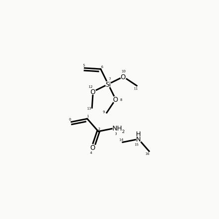 C=CC(N)=O.C=C[Si](OC)(OC)OC.CNC